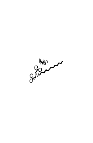 CCCCCCCCCCCCN(CC(=O)[O-])CC(=O)[O-].[Na+].[Na+]